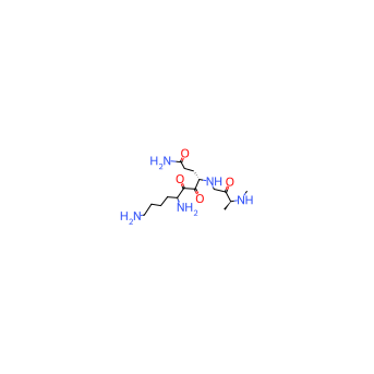 CN[C@@H](C)C(=O)CN[C@@H](CCC(N)=O)C(=O)C(=O)[C@@H](N)CCCCN